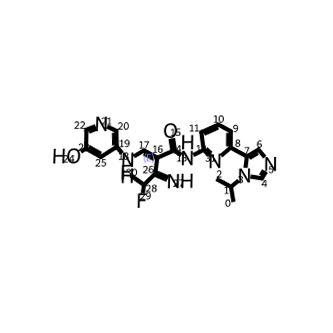 CC(C)n1cncc1-c1cccc(NC(=O)/C(=C/Nc2cncc(O)c2)C(=N)C(F)F)n1